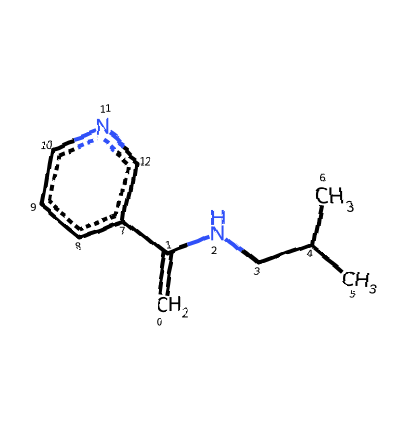 C=C(NCC(C)C)c1cccnc1